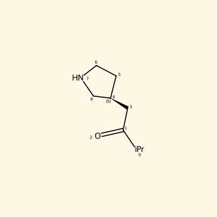 CC(C)C(=O)C[C@@H]1CCNC1